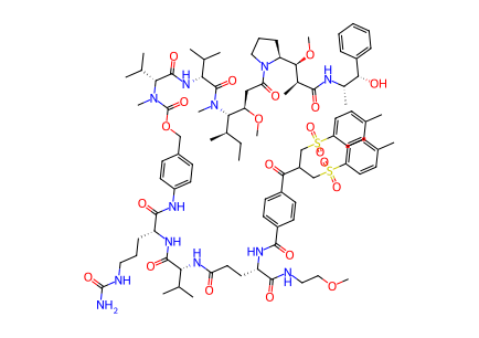 CC[C@@H](C)[C@@H]([C@@H](CC(=O)N1CCC[C@H]1[C@@H](OC)[C@H](C)C(=O)N[C@@H](C)[C@@H](O)c1ccccc1)OC)N(C)C(=O)[C@H](NC(=O)[C@@H](C(C)C)N(C)C(=O)OCc1ccc(NC(=O)[C@@H](CCCNC(N)=O)NC(=O)[C@H](NC(=O)CC[C@H](NC(=O)c2ccc(C(=O)C(CS(=O)(=O)c3ccc(C)cc3)CS(=O)(=O)c3ccc(C)cc3)cc2)C(=O)NCCOC)C(C)C)cc1)C(C)C